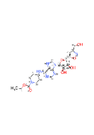 CCOC(=O)N1CCC(Nc2ncnc3c2ncn3[C@@H]2O[C@H](c3cc(CO)no3)[C@@H](O)[C@H]2O)CC1